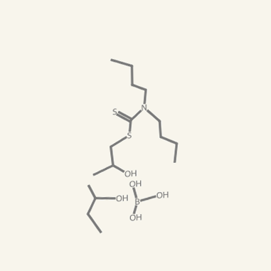 CCC(C)O.CCCCN(CCCC)C(=S)SCC(C)O.OB(O)O